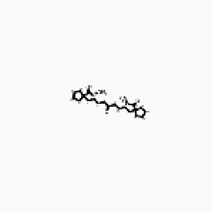 NOC(=O)C1(CCCCC(=O)CCCCC2(C(=O)ON)CCCC2)CCCC1